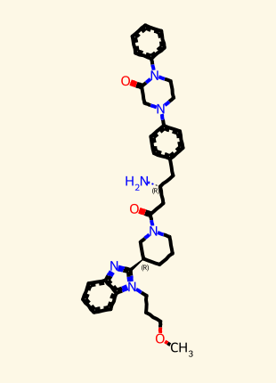 COCCCn1c([C@@H]2CCCN(C(=O)C[C@H](N)Cc3ccc(N4CCN(c5ccccc5)C(=O)C4)cc3)C2)nc2ccccc21